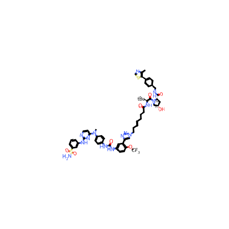 Cc1ncsc1-c1ccc(CNC(=O)[C@@H]2C[C@@H](O)CN2C(=O)[C@@H](NC(=O)CCCCCCCn2cc(-c3cc(NC(=O)Nc4ccc(N(C)c5ccnc(Nc6cccc(S(N)(=O)=O)c6)n5)cc4)ccc3OC(F)(F)F)nn2)C(C)(C)C)cc1